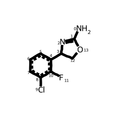 NC1=NC(c2cccc(Cl)c2F)CO1